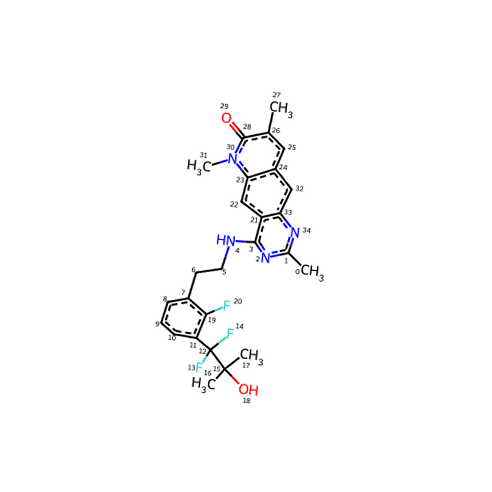 Cc1nc(NCCc2cccc(C(F)(F)C(C)(C)O)c2F)c2cc3c(cc(C)c(=O)n3C)cc2n1